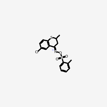 Cc1ccccc1S(=O)(=O)O/N=C1\CC(C)Sc2ccc(Cl)cc21